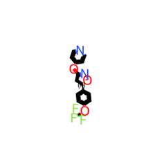 FC(F)(F)Oc1ccc([C@H]2CC(Oc3ccncc3)=NO2)cc1